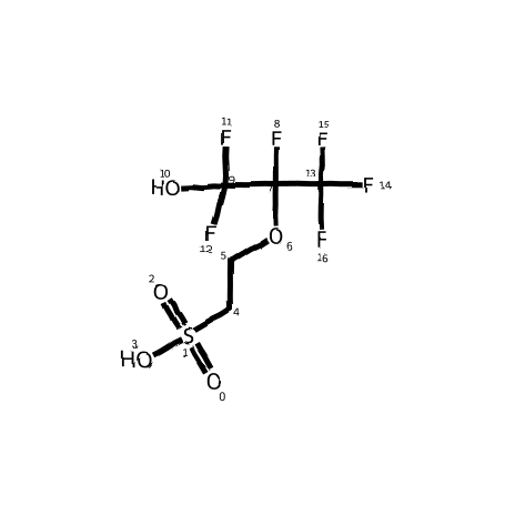 O=S(=O)(O)CCOC(F)(C(O)(F)F)C(F)(F)F